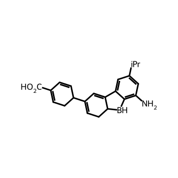 CC(C)c1cc(N)c2c(c1)C1=CC(C3C=CC(C(=O)O)=CC3)=CCC1B2